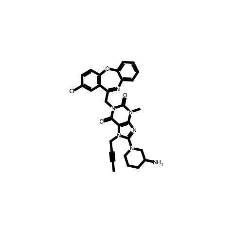 CC#CCn1c(N2CCCC(N)C2)nc2c1c(=O)n(CC1=Nc3ccccc3Oc3ccc(Cl)cc31)c(=O)n2C